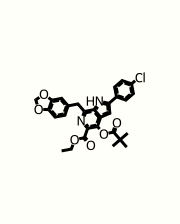 CCOC(=O)c1nc(Cc2ccc3c(c2)OCO3)c2[nH]c(-c3ccc(Cl)cc3)cc2c1OC(=O)C(C)(C)C